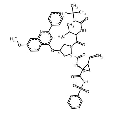 C=CC1C[C@]1(NC(=O)[C@@H]1C[C@@H](Oc2cc(-c3ccccc3)nc3cc(OC)ccc23)CN1C(=O)C(NC(=O)OC(C)(C)C)C(C)C)C(=O)NS(=O)(=O)c1ccccc1